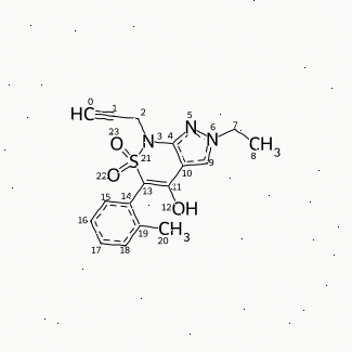 C#CCN1c2nn(CC)cc2C(O)=C(c2ccccc2C)S1(=O)=O